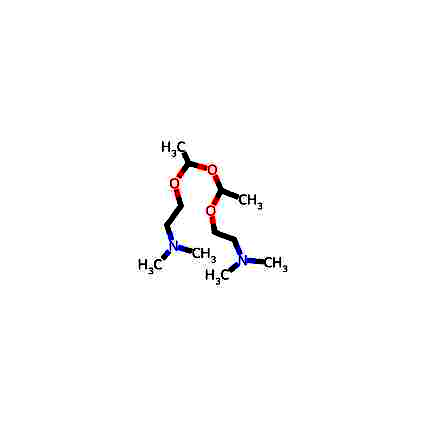 CC(OCCN(C)C)OC(C)OCCN(C)C